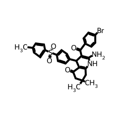 Cc1ccc(S(=O)(=O)c2ccc(C3C(C(=O)c4ccc(Br)cc4)=C(N)NC4=C3C(=O)CC(C)(C)C4)cc2)cc1